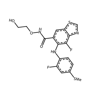 CSc1ccc(Nc2c(C(=O)NOCCO)cc3scnc3c2F)c(F)c1